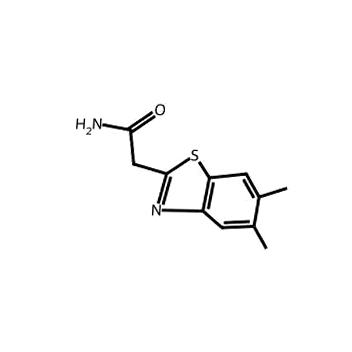 Cc1cc2nc(CC(N)=O)sc2cc1C